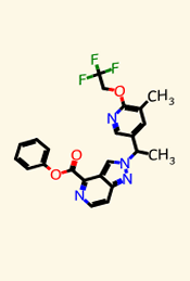 Cc1cc(C(C)n2cc3c(C(=O)Oc4ccccc4)nccc3n2)cnc1OCC(F)(F)F